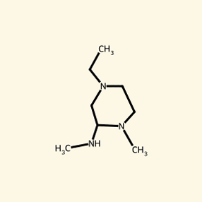 CCN1CCN(C)C(NC)C1